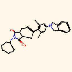 Cc1cc(N2Cc3ccccc3C2)cc(C)c1C1=CCC2C(=O)N(C3CCCCC3)C(=O)C2C1